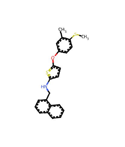 CSc1ccc(Oc2ccc(NCc3cccc4ccccc34)s2)cc1C